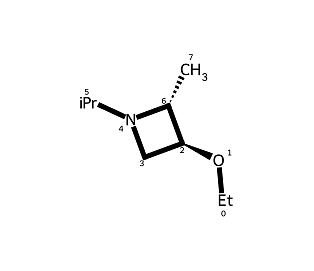 CCO[C@H]1CN(C(C)C)[C@@H]1C